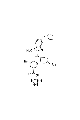 Cn1c(N(Cc2ccc(C(=O)Nc3nnn[nH]3)cc2Br)C2CCC(C(C)(C)C)CC2)nc2cc(OC3CCCC3)ccc21